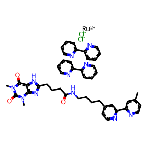 Cc1ccnc(-c2cc(CCCCNC(=O)CCCc3nc4c([nH]3)c(=O)n(C)c(=O)n4C)ccn2)c1.[Cl-].[Cl-].[Ru+2].c1ccc(-c2ccccn2)nc1.c1ccc(-c2ccccn2)nc1